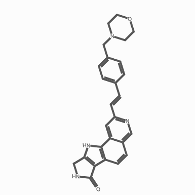 O=C1NCc2[nH]c3c(ccc4cnc(C=Cc5ccc(CN6CCOCC6)cc5)cc43)c21